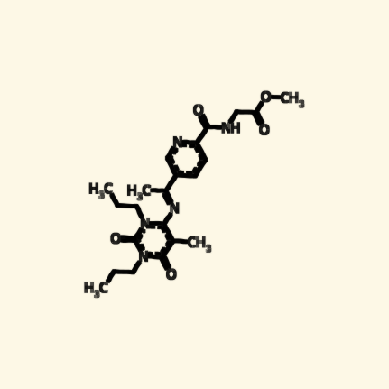 CCCn1c(/N=C(\C)c2ccc(C(=O)NCC(=O)OC)nc2)c(C)c(=O)n(CCC)c1=O